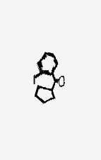 O=C(c1ccccc1I)C1CCCC1